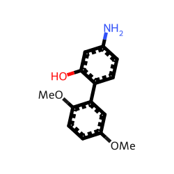 COc1ccc(OC)c(-c2ccc(N)cc2O)c1